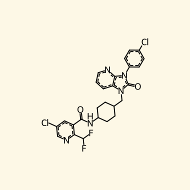 O=C(NC1CCC(Cn2c(=O)n(-c3ccc(Cl)cc3)c3ncccc32)CC1)c1cc(Cl)cnc1C(F)F